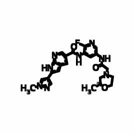 C[C@H]1CN(CC(=O)Nc2cnc(F)c(NC(=O)c3cnc4[nH]c(-c5cnn(C)c5)cc4c3)c2)CCO1